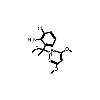 COC1=CC(OC)=NN(C(C)(SC)c2cccc(Cl)c2N)N1